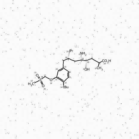 CC(C[C@H](O)[C@@H](N)C[C@H](Cc1ccc(C(C)(C)C)c(OCS(C)(=O)=O)c1)C(C)C)C(=O)O